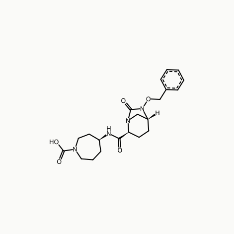 O=C(N[C@H]1CCCN(C(=O)O)CC1)[C@@H]1CC[C@@H]2CN1C(=O)N2OCc1ccccc1